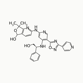 CC1(C)OC(O)c2ccc(Nc3cc(N[C@H](CO)c4ccccc4)c(-c4nc(-c5ccncc5)no4)cn3)nc21